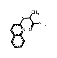 CC(Sc1ccc2ccccc2n1)C(N)=O